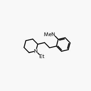 CCN1CCCCC1CCc1ccccc1NC